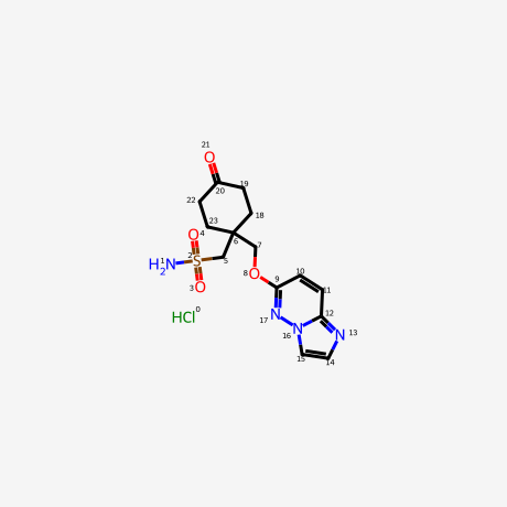 Cl.NS(=O)(=O)CC1(COc2ccc3nccn3n2)CCC(=O)CC1